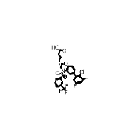 O=C(O)CCC[C@H]1CN(S(=O)(=O)c2cccc(C(F)(F)F)c2)c2cc(-c3cc(F)cc(F)c3Cl)ccc2O1